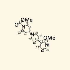 COC(=O)N1C(C)CC(N2CCC(c3cccnc3OC)CC2)CC1C